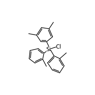 Cc1cc(C)cc([Si](Cl)(c2ccccc2C)c2ccccc2C)c1